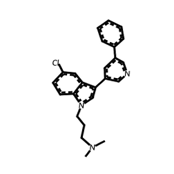 CN(C)CCCn1cc(-c2cncc(-c3ccccc3)c2)c2cc(Cl)ccc21